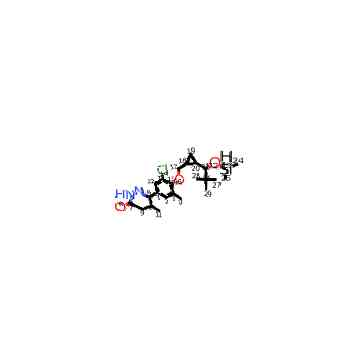 Cc1cc(C2=NNC(=O)CC2C)cc(Cl)c1OCC1CC1C(O[SiH](C)C)C(C)(C)C